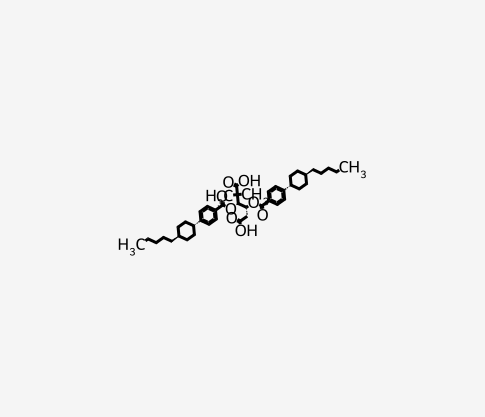 CCCCC[C@H]1CC[C@H](c2ccc(C(=O)O[C@H](CC(=O)O)[C@H](OC(=O)c3ccc([C@H]4CC[C@H](CCCCC)CC4)cc3)C(C)(C)C(=O)O)cc2)CC1